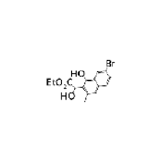 CCOC(=O)C(O)c1c(C)cc2ccc(Br)cc2c1O